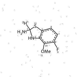 [2H]C1(N)Nc2c(ccc(F)c2OC)S1